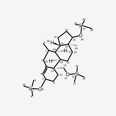 CC1CC2=CC(O[Si](C)(C)C)CC[C@]2(CO[Si](C)(C)C)[C@@H]2CC[C@]3(C)C(O[Si](C)(C)C)CC[C@H]3[C@H]12